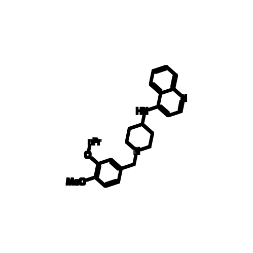 CCCOc1cc(CN2CCC(Nc3ccnc4ccccc34)CC2)ccc1OC